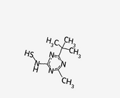 Cc1nc(NS)nc(C(C)(C)C)n1